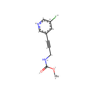 CC(C)(C)OC(=O)NCC#Cc1cncc(F)c1